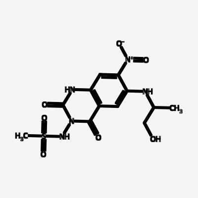 CC(CO)Nc1cc2c(=O)n(NS(C)(=O)=O)c(=O)[nH]c2cc1[N+](=O)[O-]